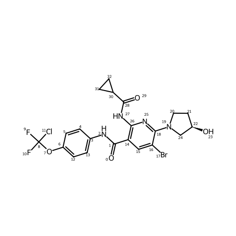 O=C(Nc1ccc(OC(F)(F)Cl)cc1)c1cc(Br)c(N2CC[C@@H](O)C2)nc1NC(=O)C1CC1